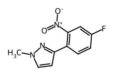 Cn1ccc(-c2ccc(F)cc2[N+](=O)[O-])n1